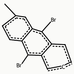 Cc1ccc2c(Br)c3ccccc3c(Br)c2c1